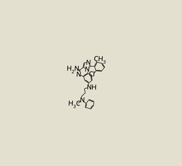 Cc1cccc(Cl)c1-c1ncc2c(N)nc3cc(NCCCN(C)c4ccccc4)ccc3n12